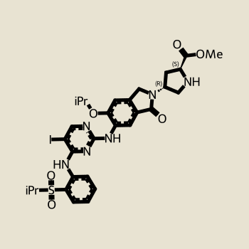 COC(=O)[C@@H]1C[C@@H](N2Cc3cc(OC(C)C)c(Nc4ncc(I)c(Nc5ccccc5S(=O)(=O)C(C)C)n4)cc3C2=O)CN1